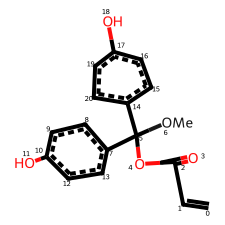 C=CC(=O)OC(OC)(c1ccc(O)cc1)c1ccc(O)cc1